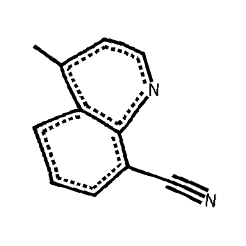 Cc1ccnc2c(C#N)cccc12